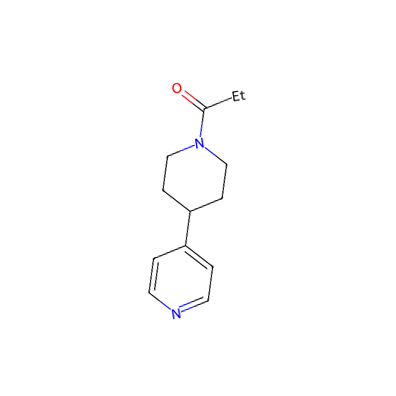 CCC(=O)N1CCC(c2ccncc2)CC1